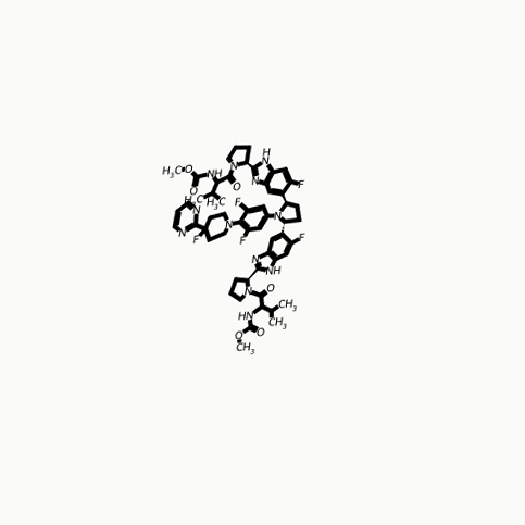 COC(=O)NC(C(=O)N1CCC[C@H]1c1nc2cc([C@H]3CC[C@H](c4cc5nc([C@@H]6CCCN6C(=O)C(NC(=O)OC)C(C)C)[nH]c5cc4F)N3c3cc(F)c(N4CCC(F)(c5ncccn5)CC4)c(F)c3)c(F)cc2[nH]1)C(C)C